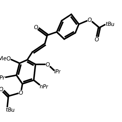 CCCc1c(OC)c(C=CC(=O)c2ccc(OC(=O)C(C)(C)C)cc2)c(OC(C)C)c(CCC)c1OC(=O)C(C)(C)C